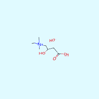 C[N+](C)(C)CC(O)CC(=O)O.[OH-]